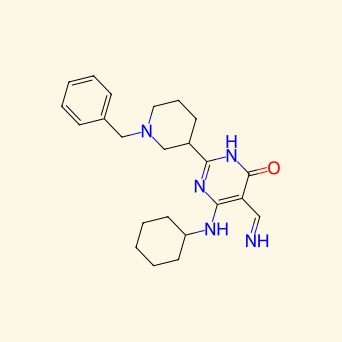 N=Cc1c(NC2CCCCC2)nc(C2CCCN(Cc3ccccc3)C2)[nH]c1=O